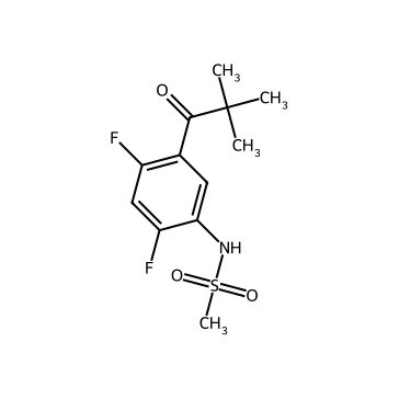 CC(C)(C)C(=O)c1cc(NS(C)(=O)=O)c(F)cc1F